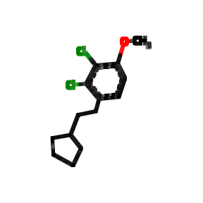 COc1ccc(CCC2CCCC2)c(Cl)c1Cl